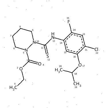 CCOC(=O)N1CCCCN1C(=S)Nc1cc(OC(C)C)c(Cl)cc1F